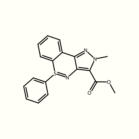 COC(=O)c1c2c(nn1C)-c1ccccc1S(c1ccccc1)=N2